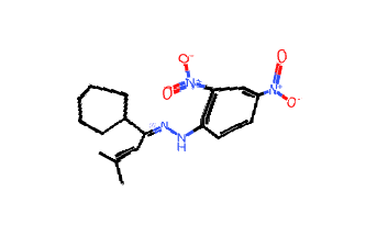 CC(C)=C/C(=N\Nc1ccc([N+](=O)[O-])cc1[N+](=O)[O-])C1CCCCC1